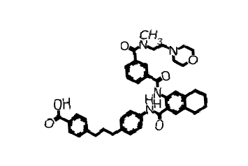 CN(CCN1CCOCC1)C(=O)c1cccc(C(=O)Nc2cc3c(cc2C(=O)Nc2ccc(CCCc4ccc(C(=O)O)cc4)cc2)CCCC3)c1